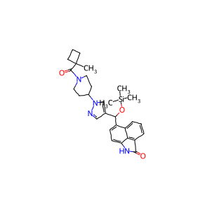 CC1(C(=O)N2CCC(n3cc(C(O[Si](C)(C)C)c4ccc5c6c(cccc46)C(=O)N5)cn3)CC2)CCC1